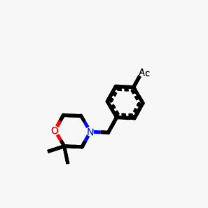 CC(=O)c1ccc(CN2CCOC(C)(C)C2)cc1